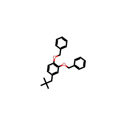 CC(C)(C)Cc1ccc(OCc2ccccc2)c(OCc2ccccc2)c1